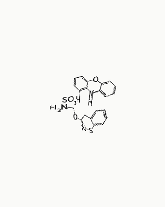 NCOC1=NSc2ccccc2C1.O=S(=O)(O)c1cccc2c1Nc1ccccc1O2